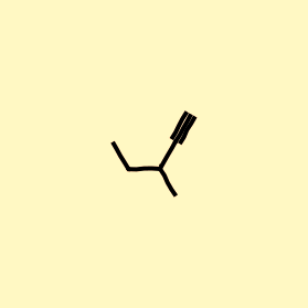 C#C[C](C)CC